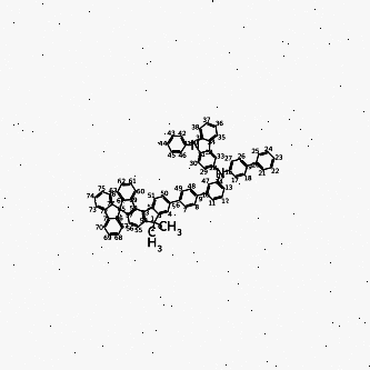 CC1(C)c2cc(-c3ccc(-c4cccc(N(c5ccc(-c6ccccc6)cc5)c5ccc6c(c5)c5ccccc5n6-c5ccccc5)c4)cc3)ccc2-c2c1ccc1c2-c2ccccc2C12c1ccccc1-c1ccccc12